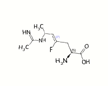 CC(=N)NC(C)/C=C(\F)C[C@H](N)C(=O)O